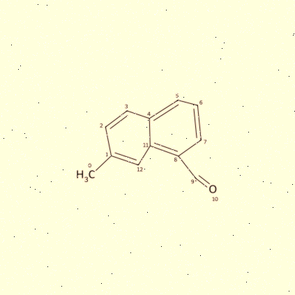 Cc1ccc2cccc([C]=O)c2c1